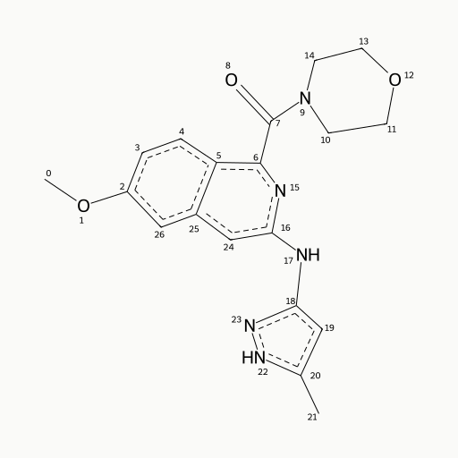 COc1ccc2c(C(=O)N3CCOCC3)nc(Nc3cc(C)[nH]n3)cc2c1